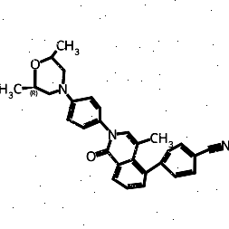 Cc1cn(-c2ccc(N3CC(C)O[C@H](C)C3)cc2)c(=O)c2cccc(-c3ccc(C#N)cc3)c12